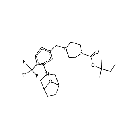 CCC(C)(C)OC(=O)N1CCN(Cc2ccc(C(F)(F)F)c(N3CC4CCC(C3)O4)c2)CC1